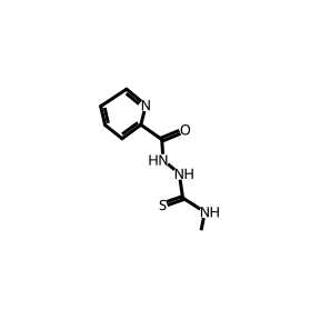 CNC(=S)NNC(=O)c1ccccn1